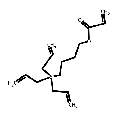 C=CC[Si](CC=C)(CC=C)CCCCOC(=O)C=C